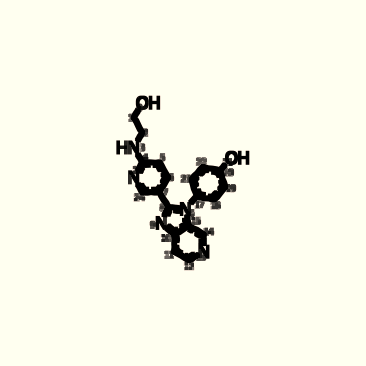 OCCNc1ccc(-c2nc3ccncc3n2-c2ccc(O)cc2)cn1